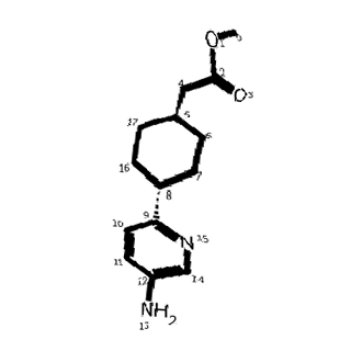 COC(=O)C[C@H]1CC[C@H](c2ccc(N)cn2)CC1